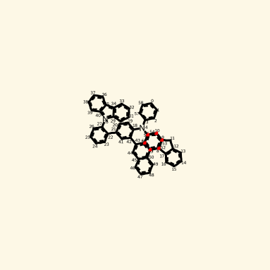 c1ccc(N(c2ccc3c(c2)Cc2ccccc2-3)c2ccc(-c3ccccc3-n3c4ccccc4c4ccccc43)cc2-c2cc3ccccc3c3ccccc23)cc1